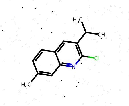 Cc1ccc2cc(C(C)C)c(Cl)nc2c1